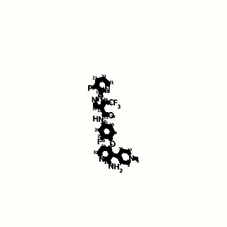 CN1CC=C(c2c(Oc3ccc(NC(=O)c4cnn(-c5ncccc5F)c4C(F)(F)F)cc3F)ccnc2N)CC1